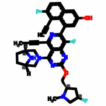 C#Cc1c(F)ccc2cc(O)cc(-c3nc(C#CC)c4c(N5C[C@H]6CC[C@@H](C5)N6)nc(OC[C@@H]5C[C@@H](F)CN5C)nc4c3F)c12